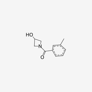 Cc1cccc(C(=O)N2CC(O)C2)c1